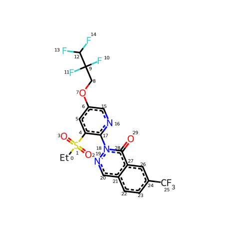 CCS(=O)(=O)c1cc(OCC(F)(F)C(F)F)cnc1-n1ncc2ccc(C(F)(F)F)cc2c1=O